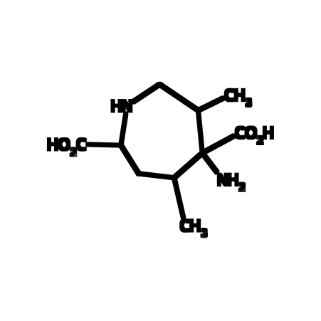 CC1CNC(C(=O)O)CC(C)C1(N)C(=O)O